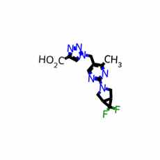 Cc1nc(N2CC3C(C2)C3(F)F)ncc1Cn1cc(C(=O)O)nn1